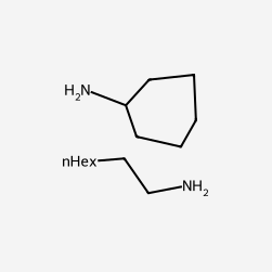 CCCCCCCCN.NC1CCCCC1